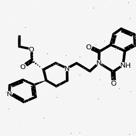 CCOC(=O)[C@@H]1CN(CCn2c(=O)[nH]c3ccccc3c2=O)CC[C@H]1c1ccncc1